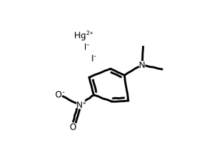 CN(C)c1ccc([N+](=O)[O-])cc1.[Hg+2].[I-].[I-]